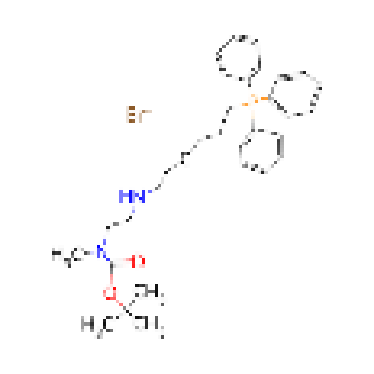 CN(CCNCCCCCC[P+](c1ccccc1)(c1ccccc1)c1ccccc1)C(=O)OC(C)(C)C.[Br-]